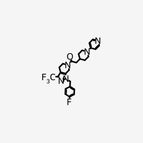 O=C(CC1CCN(c2ccncc2)CC1)N1CCc2c(C(F)(F)F)nn(Cc3ccc(F)cc3)c2C1